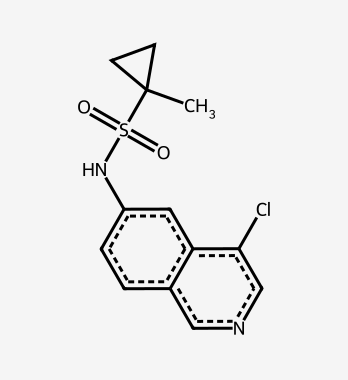 CC1(S(=O)(=O)Nc2ccc3cncc(Cl)c3c2)CC1